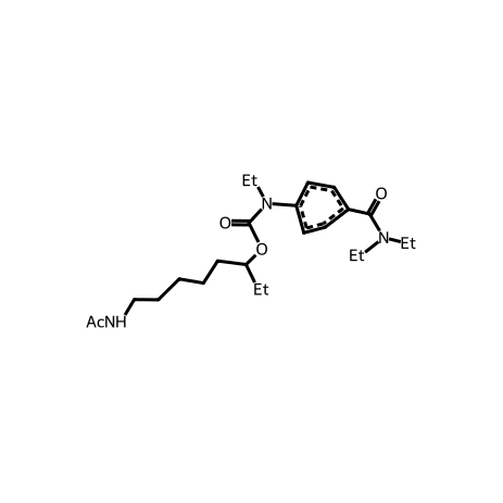 CCC(CCCCCNC(C)=O)OC(=O)N(CC)c1ccc(C(=O)N(CC)CC)cc1